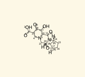 O=C(O)c1cn2c(c(O)c1=O)C(=O)N1[C@@H]3CC[C@H](C3)O[C@@H]1C2